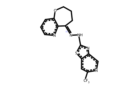 FC(F)(F)c1cc2sc(N/N=C3\CCCOc4cccnc43)nc2cn1